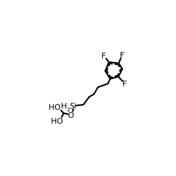 OC(O)O[SiH2]CCCCCc1cc(F)c(F)cc1F